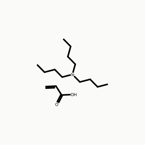 C=CC(=O)O.CCCC[Si](CCCC)CCCC